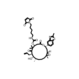 C=CC[C@H]1C(=O)C(C)(C)[C@@H](OC(=O)NCCCCCN2C(=O)C=CC2=O)CC(=O)O[C@H](c2ccc3sc(C)nc3c2)C[C@@H]2O[C@]2(C)CCC[C@H](C)[C@@H]1O